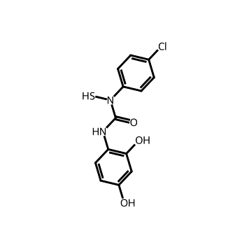 O=C(Nc1ccc(O)cc1O)N(S)c1ccc(Cl)cc1